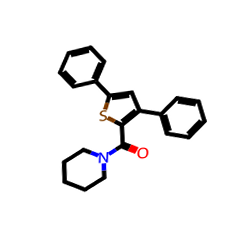 O=C(c1sc(-c2ccccc2)cc1-c1ccccc1)N1CCCCC1